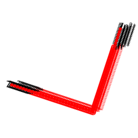 [O-2].[O-2].[O-2].[O-2].[O-2].[O-2].[O-2].[O-2].[O-2].[O-2].[O-2].[O-2].[O-2].[O-2].[O-2].[O-2].[O-2].[O-2].[O-2].[O-2].[O-2].[O-2].[O-2].[O-2].[O-2].[O-2].[O-2].[O-2].[O-2].[O-2].[O-2].[O-2].[O-2].[O-2].[O-2].[O-2].[O-2].[O-2].[O-2].[O-2].[O-2].[O-2].[O-2].[O-2].[O-2].[O-2].[O-2].[O-2].[O-2].[O-2].[O-2].[O-2].[O-2].[O-2].[O-2].[O-2].[O-2].[O-2].[O-2].[O-2].[O-2].[O-2].[O-2].[O-2].[O-2].[O-2].[O-2].[O-2].[O-2].[O-2].[O-2].[O-2].[O-2].[O-2].[O-2].[O-2].[O-2].[O-2].[O-2].[O-2].[O-2].[O-2].[O-2].[O-2].[O-2].[O-2].[O-2].[O-2].[O-2].[O-2].[Zn+2].[Zn+2].[Zn+2].[Zn+2].[Zn+2].[Zn+2].[Zn+2].[Zn+2].[Zn+2].[Zn+2].[Zn+2].[Zn+2].[Zn+2].[Zn+2].[Zn+2].[Zn+2].[Zn+2].[Zn+2].[Zn+2].[Zn+2].[Zn+2].[Zn+2].[Zn+2].[Zn+2].[Zn+2].[Zn+2].[Zn+2].[Zn+2].[Zn+2].[Zn+2]